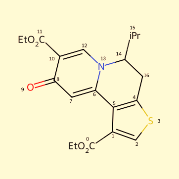 CCOC(=O)c1csc2c1-c1cc(=O)c(C(=O)OCC)cn1C(C(C)C)C2